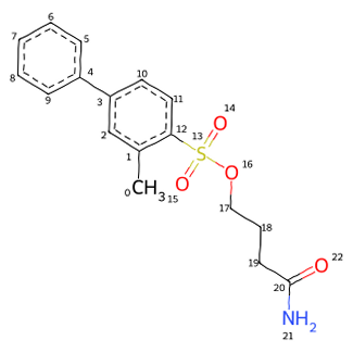 Cc1cc(-c2ccccc2)ccc1S(=O)(=O)OCCCC(N)=O